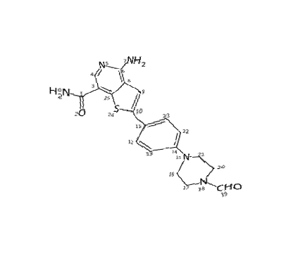 NC(=O)c1cnc(N)c2cc(-c3ccc(N4CCN(C=O)CC4)cc3)sc12